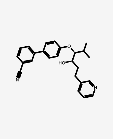 CC(C)[C@H](Oc1ccc(-c2cccc(C#N)c2)cc1)[C@H](O)CCc1cccnc1